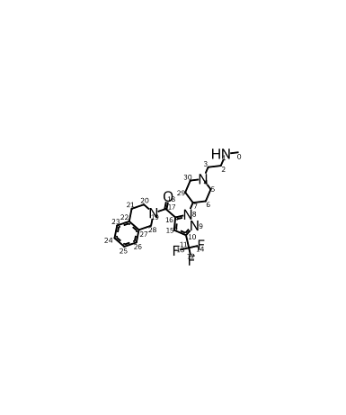 CNCCN1CCC(n2nc(C(F)(F)F)cc2C(=O)N2CCc3ccccc3C2)CC1